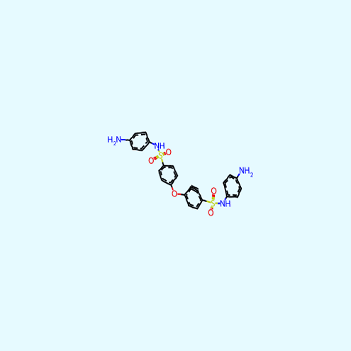 Nc1ccc(NS(=O)(=O)c2c#cc(Oc3ccc(S(=O)(=O)Nc4ccc(N)cc4)cc3)cc2)cc1